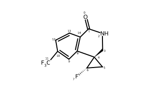 O=C1NC[C@]2(C[C@@H]2F)c2cc(C(F)(F)F)ccc21